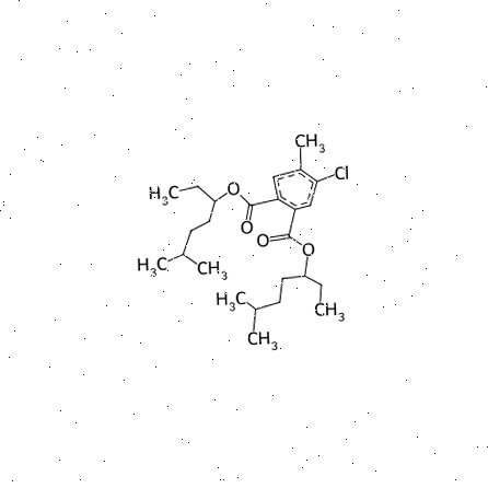 CCC(CCC(C)C)OC(=O)c1cc(C)c(Cl)cc1C(=O)OC(CC)CCC(C)C